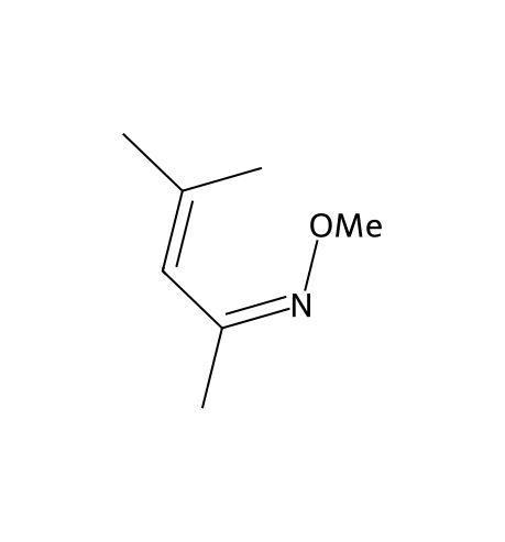 CO/N=C(/C)C=C(C)C